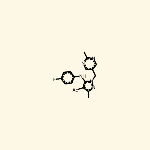 CC(=O)c1c(C)nn(Cc2cnc(C)nc2)c1Nc1ccc(F)cc1